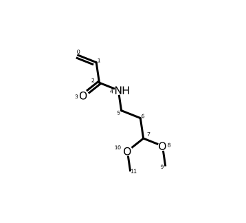 C=CC(=O)NCCC(OC)OC